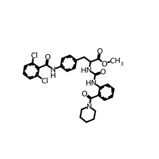 COC(=O)C(Cc1ccc(NC(=O)c2c(Cl)cccc2Cl)cc1)NC(=O)Nc1ccccc1C(=O)N1CCCCC1